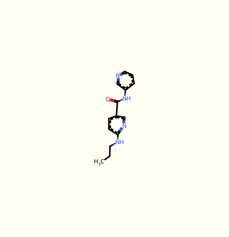 CCCNc1ccc(C(=O)Nc2cccnc2)cn1